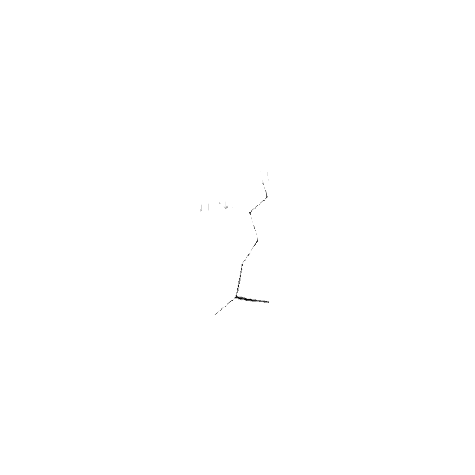 CC(C)CC[C@H](N)CO